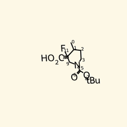 CC1CCN(C(=O)OC(C)(C)C)CC1(F)C(=O)O